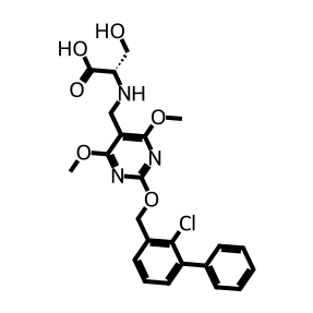 COc1nc(OCc2cccc(-c3ccccc3)c2Cl)nc(OC)c1CN[C@@H](CO)C(=O)O